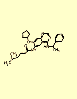 CC(Nc1ncnc2cc(OC3CCCC3)c(NC(=O)C=CCN(C)C)cc12)c1ccccc1